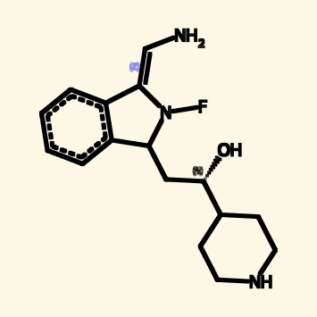 N/C=C1/c2ccccc2C(C[C@H](O)C2CCNCC2)N1F